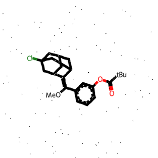 COC(=C1C2CC3CC1CC(Cl)(C3)C2)c1cccc(OC(=O)C(C)(C)C)c1